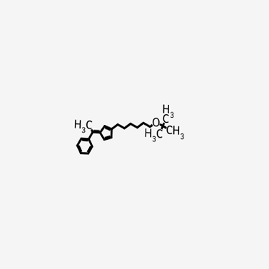 C/C(=C1/C=CC(CCCCCCOC(C)(C)C)=C1)c1ccccc1